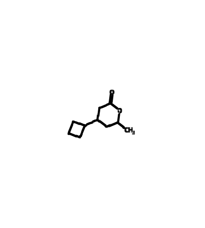 CC1CC(C2CCC2)CC(=O)O1